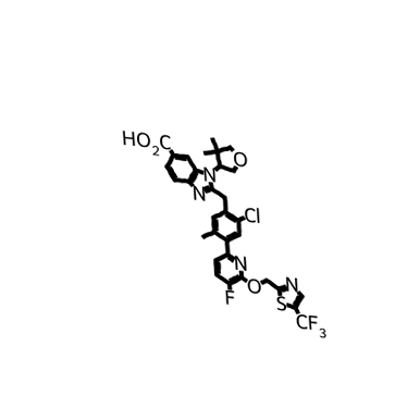 Cc1cc(Cc2nc3ccc(C(=O)O)cc3n2C2COCC2(C)C)c(Cl)cc1-c1ccc(F)c(OCc2ncc(C(F)(F)F)s2)n1